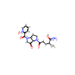 CC(C[CH]C(=O)N1CCC2C1C(=O)CN2C(=O)c1cccc[n+]1[O-])C(N)=O